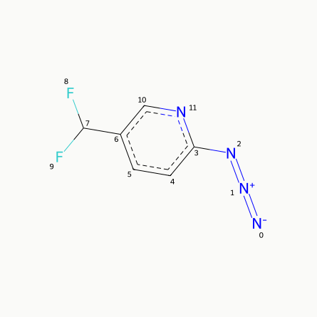 [N-]=[N+]=Nc1ccc(C(F)F)cn1